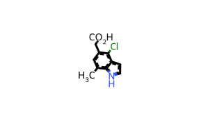 Cc1cc(CC(=O)O)c(Cl)c2cc[nH]c12